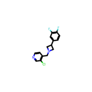 Fc1ccc(C2CN(Cc3ccncc3Cl)C2)cc1F